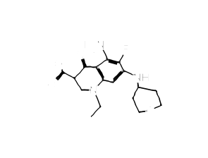 CCN1CC(C(=O)O)C(=O)c2c1cc(NC1CCCCC1)c(F)c2N